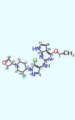 CCOc1nc(Nc2cnn(C3CCN(C4COC4)CC3F)c2Cl)nc2[nH]ccc12